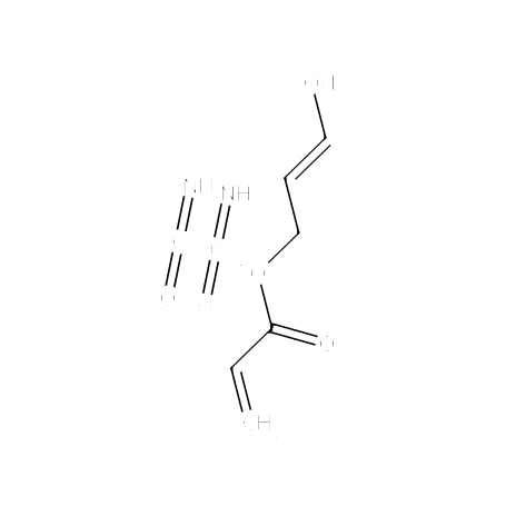 C=CC(=O)OCC=CO.N=C=O.N=C=O